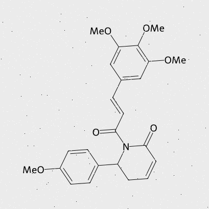 COc1ccc(C2CC=CC(=O)N2C(=O)C=Cc2cc(OC)c(OC)c(OC)c2)cc1